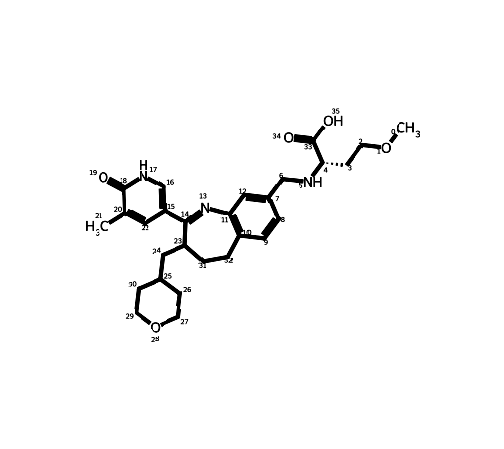 COCC[C@H](NCc1ccc2c(c1)N=C(c1c[nH]c(=O)c(C)c1)C(CC1CCOCC1)CC2)C(=O)O